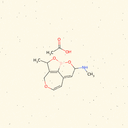 CC(=O)O.CNC1C=C2C=COCC3=C2B(O1)OC3C